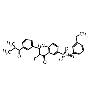 CCc1cccc(NS(=O)(=O)c2ccc3c(c2)C(=O)C(F)C(c2cccc(C(=O)C(C)C)c2)N3)c1